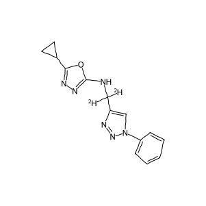 [2H]C([2H])(Nc1nnc(C2CC2)o1)c1cn(-c2ccccc2)nn1